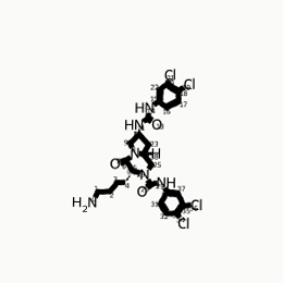 NCCCC[C@@H]1C(=O)N2C[C@H](NC(=O)Nc3ccc(Cl)c(Cl)c3)C[C@@H]2CN1C(=O)Nc1ccc(Cl)c(Cl)c1